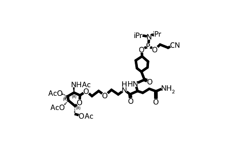 CC(=O)N[C@H]1C(OCCOCCNC(=O)C(CCC(N)=O)NC(=O)C2CCC(OP(OCCC#N)N(C(C)C)C(C)C)CC2)O[C@H](COC(C)=O)[C@H](OC(C)=O)[C@@H]1OC(C)=O